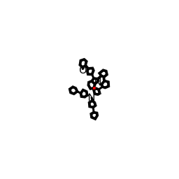 c1ccc(-c2ccc(N(c3ccc(-c4ccccc4)cc3)c3ccc(-c4cccc5c6ccccc6c6c(-c7ccc8c(c7)oc7ccccc78)c7ccccc7n6c45)cc3)cc2)cc1